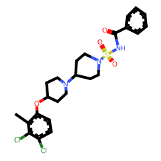 Cc1c(OC2CCN(C3CCN(S(=O)(=O)NC(=O)c4ccccc4)CC3)CC2)ccc(Cl)c1Cl